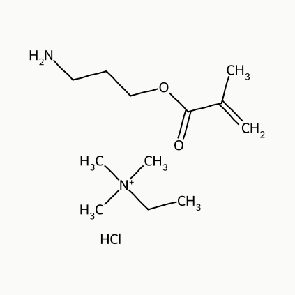 C=C(C)C(=O)OCCCN.CC[N+](C)(C)C.Cl